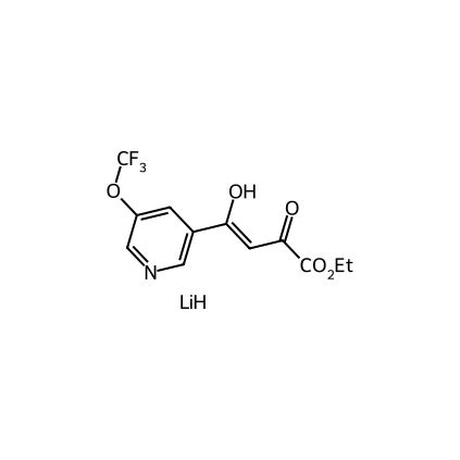 CCOC(=O)C(=O)C=C(O)c1cncc(OC(F)(F)F)c1.[LiH]